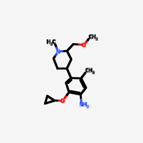 COCC1CC(c2cc(OC3CC3)c(N)cc2C)CCN1C